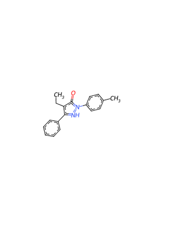 CCc1c(-c2ccccc2)[nH]n(-c2ccc(C)cc2)c1=O